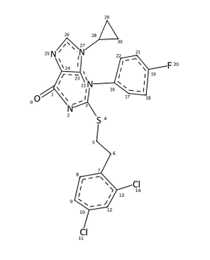 O=c1nc(SCCc2ccc(Cl)cc2Cl)n(-c2ccc(F)cc2)c2c1ncn2C1CC1